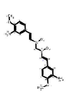 COc1ccc(C=C[S+]([O-])C[S+]([O-])/C=C/c2ccc(OC)c(N)c2)cc1N